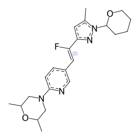 Cc1cc(/C(F)=C/c2ccc(N3CC(C)OC(C)C3)nc2)nn1C1CCCCO1